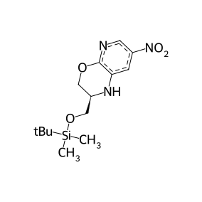 CC(C)(C)[Si](C)(C)OC[C@H]1COc2ncc([N+](=O)[O-])cc2N1